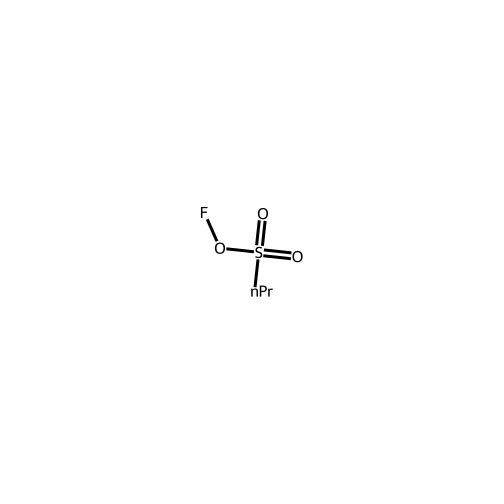 CCCS(=O)(=O)OF